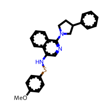 COc1ccc(SNc2cnc(N3CCC(c4ccccc4)C3)c3ccccc23)cc1